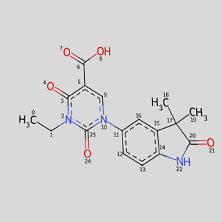 CCn1c(=O)c(C(=O)O)cn(-c2ccc3c(c2)C(C)(C)C(=O)N3)c1=O